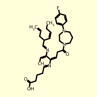 C=CCC(/C=C\CC)/C=N/C(=C/C)C(=C\CC(=O)N1CCCN(c2ccc(F)cc2)CC1)/N=C/CCCC(=O)O